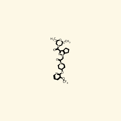 C[C@@H]1CN(C(=O)c2nn(CC(=O)N3CCC(Oc4ncccc4OC(F)(F)F)CC3)c3c2CCC3)C[C@H](C)O1